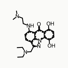 CCN(CC)Cc1nn2c3c(O)ccc(O)c3c(=O)c3c(NCCN(C)C)ccc1c32